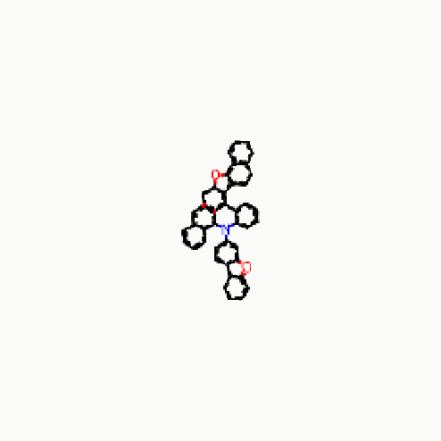 c1ccc(N(c2ccc3c(c2)oc2ccccc23)c2cccc3ccccc23)c(-c2cccc3oc4c5ccccc5ccc4c23)c1